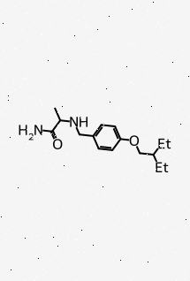 CCC(CC)COc1ccc(CNC(C)C(N)=O)cc1